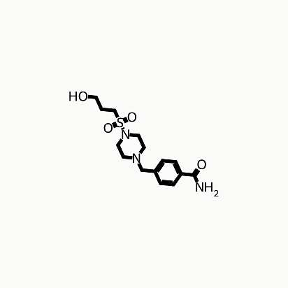 NC(=O)c1ccc(CN2CCN(S(=O)(=O)CCCO)CC2)cc1